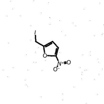 O=[N+]([O-])c1ccc(CI)o1